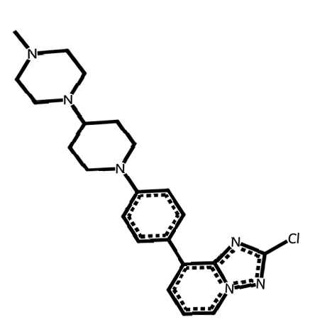 CN1CCN(C2CCN(c3ccc(-c4cccn5nc(Cl)nc45)cc3)CC2)CC1